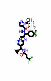 CC(C)n1nccc1C(=O)N[C@H](c1cn2ncc(C(NC(=O)CCC(F)F)C3CC3)cc2n1)C1CCC(F)(F)CC1